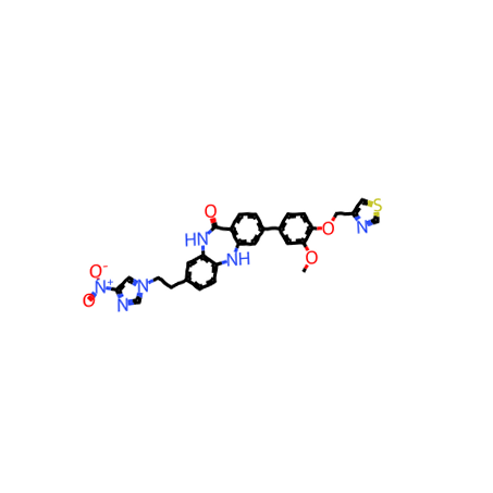 COc1cc(-c2ccc3c(c2)Nc2ccc(CCn4cnc([N+](=O)[O-])c4)cc2NC3=O)ccc1OCc1cscn1